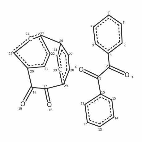 O=C(C(=O)c1ccccc1)c1ccccc1.O=C1C(=O)c2ccc(cc2)-c2ccc1cc2